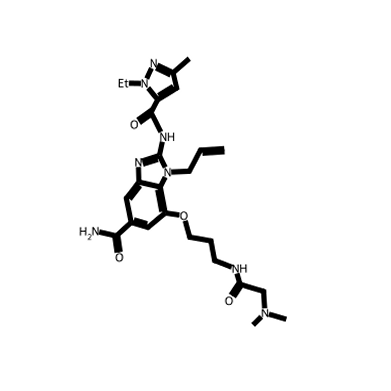 C=CCn1c(NC(=O)c2cc(C)nn2CC)nc2cc(C(N)=O)cc(OCCCNC(=O)CN(C)C)c21